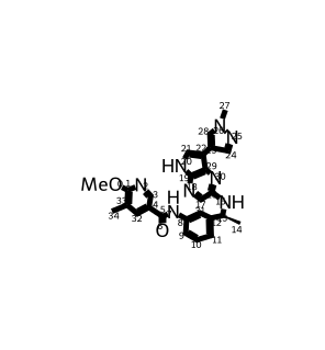 COc1ncc(C(=O)Nc2cccc([C@H](C)Nc3cnc4[nH]cc(-c5cnn(C)c5)c4n3)c2)cc1C